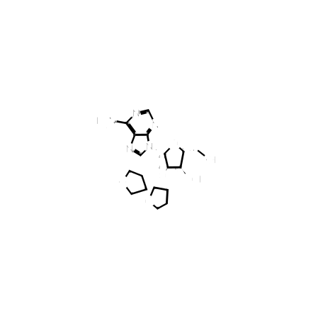 C1CCOC1.C1CCOC1.Nc1ncnc2c1ncn2[C@@H]1O[C@H](CO)[C@@H](O)[C@H]1O